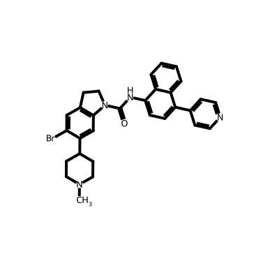 CN1CCC(c2cc3c(cc2Br)CCN3C(=O)Nc2ccc(-c3ccncc3)c3ccccc23)CC1